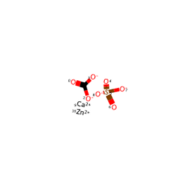 O=C([O-])[O-].O=S(=O)([O-])[O-].[Ca+2].[Zn+2]